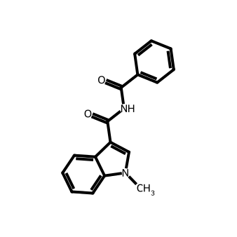 Cn1cc(C(=O)NC(=O)c2ccccc2)c2ccccc21